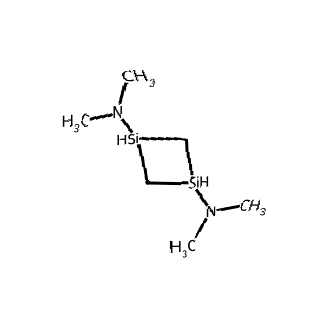 CN(C)[SiH]1C[SiH](N(C)C)C1